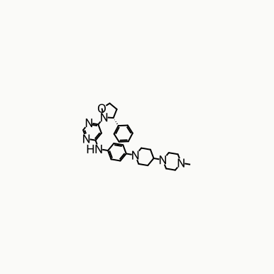 CN1CCN(C2CCN(c3ccc(Nc4cc(N5OCC[C@@H]5c5ccccc5)ncn4)cc3)CC2)CC1